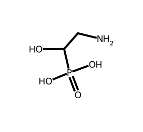 NCC(O)P(=O)(O)O